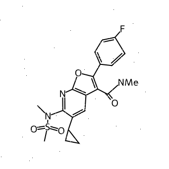 CNC(=O)c1c(-c2ccc(F)cc2)oc2nc(N(C)S(C)(=O)=O)c(C3CC3)cc12